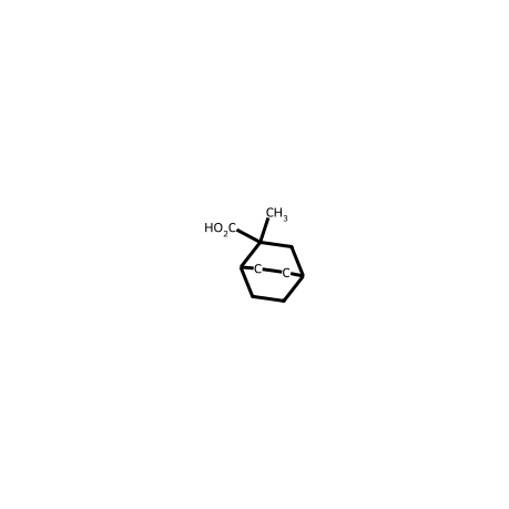 CC1(C(=O)O)CC2CCC1CC2